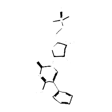 Nc1nc(=O)n([C@@H]2O[C@H](COP(=O)(Cl)Cl)[C@H](O)[C@@H]2O)cc1-c1ccccc1